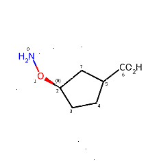 NO[C@@H]1CCC(C(=O)O)C1